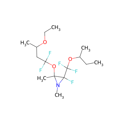 CCOC(C)CC(F)(F)OC1(C)N(C)C1(F)C(F)(F)OC(C)CC